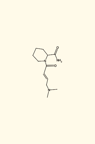 CN(C)C/C=C/C(=O)N1CCCCC1C(N)=O